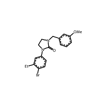 CCc1cc(N2CCN(Cc3cccc(OC)c3)C2=O)ccc1Br